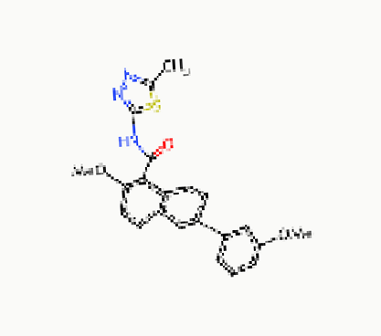 COc1cccc(-c2ccc3c(C(=O)Nc4nnc(C)s4)c(OC)ccc3c2)c1